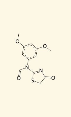 COc1cc(OC)cc(N(C=O)C2=NC(=O)CS2)c1